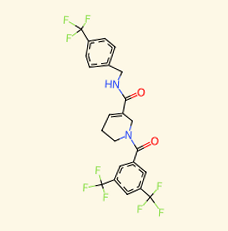 O=C(NCc1ccc(C(F)(F)F)cc1)C1=CCCN(C(=O)c2cc(C(F)(F)F)cc(C(F)(F)F)c2)C1